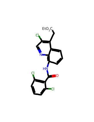 CCOC(=O)Cc1c(Cl)cnc2c(NC(=O)c3c(Cl)cccc3Cl)cccc12